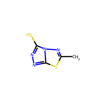 Cc1nn2c(S)nnc2s1